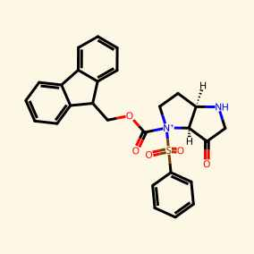 O=C1CN[C@@H]2CC[N+](C(=O)OCC3c4ccccc4-c4ccccc43)(S(=O)(=O)c3ccccc3)[C@H]12